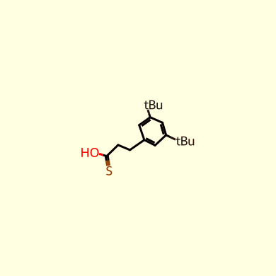 CC(C)(C)c1cc(CCC(O)=S)cc(C(C)(C)C)c1